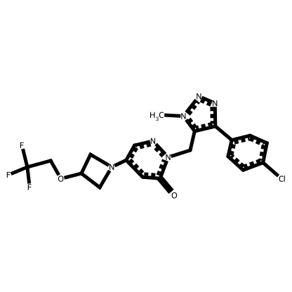 Cn1nnc(-c2ccc(Cl)cc2)c1Cn1ncc(N2CC(OCC(F)(F)F)C2)cc1=O